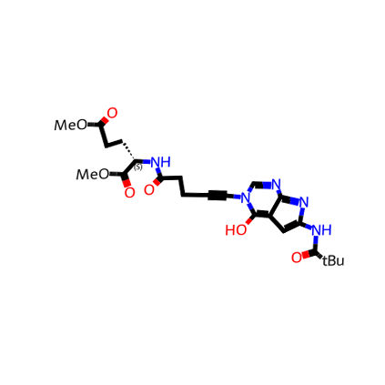 COC(=O)CC[C@H](NC(=O)CCC#Cn1cnc2nc(NC(=O)C(C)(C)C)cc-2c1O)C(=O)OC